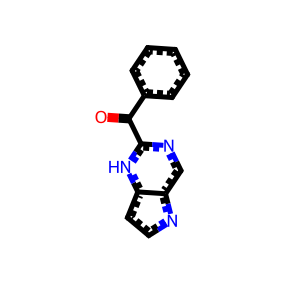 O=C(c1ccccc1)c1ncc2nccc-2[nH]1